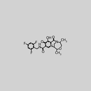 CC1OCC(C)N2CC1n1cc(C(=O)NCc3c(F)cc(F)cc3F)c(=O)c(O)c1C2=O